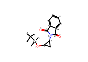 CC(C)(C)[Si](C)(C)OC1C[C@@H]1N1C(=O)c2ccccc2C1=O